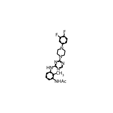 CC(=O)Nc1cccc(Nc2ncnc(N3CCN(c4ccc(F)c(F)c4)CC3)n2)c1C